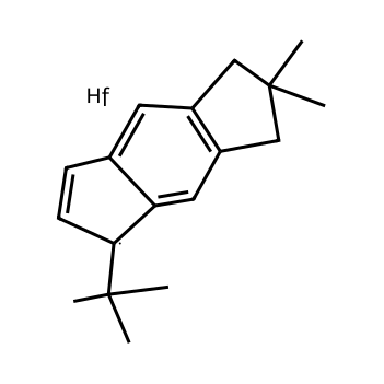 CC1(C)Cc2cc3c(cc2C1)[C](C(C)(C)C)C=C3.[Hf]